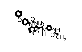 C=CC(=O)N[C@@H]1CC[C@H](NC(=O)C2=C3NC(=O)N(c4ccc(Oc5ccccc5)cc4)C4C=CN=C(S2)C34)C1